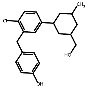 CC1CC(CO)CC(c2ccc(Cl)c(Cc3ccc(O)cc3)c2)C1